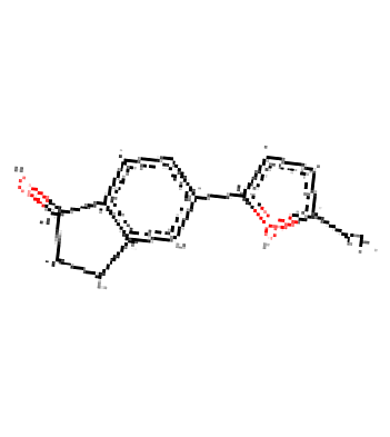 Cc1ccc(-c2ccc3c(c2)CCC3=O)o1